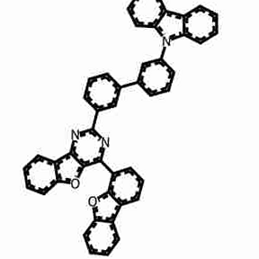 c1cc(-c2cccc(-n3c4ccccc4c4ccccc43)c2)cc(-c2nc(-c3cccc4c3oc3ccccc34)c3oc4ccccc4c3n2)c1